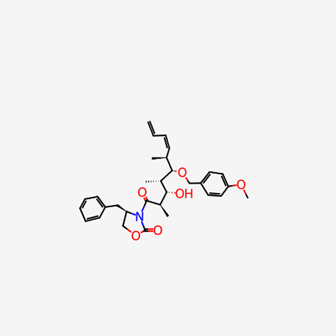 C=C/C=C\[C@H](C)[C@H](OCc1ccc(OC)cc1)[C@@H](C)[C@H](O)[C@@H](C)C(=O)N1C(=O)OC[C@H]1Cc1ccccc1